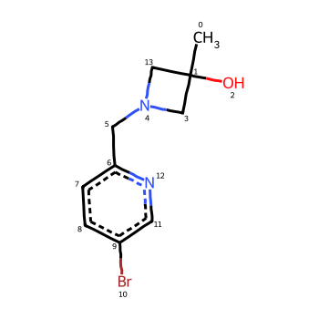 CC1(O)CN(Cc2ccc(Br)cn2)C1